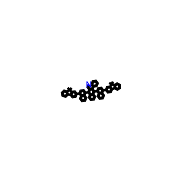 CC1(C)c2ccccc2-c2ccc(-c3ccc(-c4c5ccccc5c(-c5ccc(-c6ccc7c(c6)C(C)(C)c6ccccc6-7)c6ccccc56)c5c4cnc4ccccc45)c4ccccc34)cc21